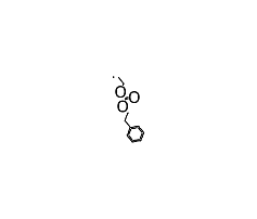 [CH2]COC(=O)OCCc1ccccc1